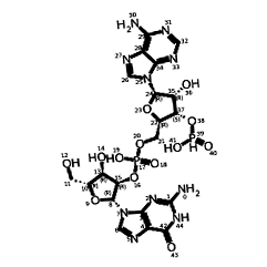 Nc1nc2c(ncn2[C@@H]2O[C@H](CO)[C@@H](O)[C@H]2OP(=O)(O)OC[C@H]2O[C@@H](n3cnc4c(N)ncnc43)[C@H](O)[C@@H]2O[PH](=O)O)c(=O)[nH]1